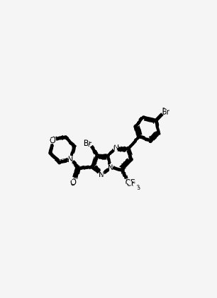 O=C(c1nn2c(C(F)(F)F)cc(-c3ccc(Br)cc3)nc2c1Br)N1CCOCC1